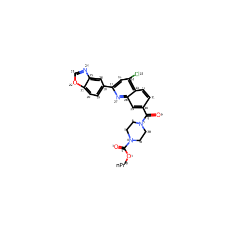 CCCOC(=O)N1CCN(C(=O)c2ccc3c(Cl)cc(-c4ccc5ocnc5c4)nc3c2)CC1